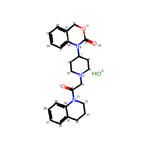 Cl.O=C(CN1CCC(N2C(=O)OCc3ccccc32)CC1)N1CCCc2ccccc21